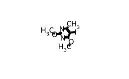 COc1nc(C)c(I)c(OC)n1